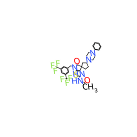 CC(=O)Nc1nc(C2(C(=O)NCc3cc(C(F)(F)F)cc(C(F)(F)F)c3)CCC(N3CCN(c4ccccc4)CC3)C2)cs1